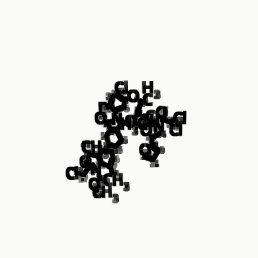 C#CC(C)Oc1cc(N2C(=O)C3=C(CCCC3)C2=O)c(F)cc1Cl.CC1(C)OC(c2ccco2)CN1C(=O)C(Cl)Cl.CCc1cccc(CC)c1N(COC)C(=O)CCl